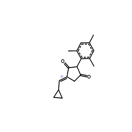 Cc1cc(C)c(C2C(=O)C/C(=C\C3CC3)C2=O)c(C)c1